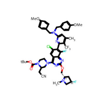 COc1ccc(CN(Cc2ccc(OC)cc2)c2cc(C)c(C(F)(F)F)c(-c3c(Cl)cc4c(N5CCN(C(=O)OC(C)(C)C)C(CC#N)C5)nc(OC[C@@H]5C[C@@H](F)CN5C)nc4c3F)n2)cc1